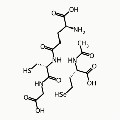 CC(=O)N[C@@H](CC[SeH])C(=O)O.N[C@@H](CCC(=O)N[C@@H](CS)C(=O)NCC(=O)O)C(=O)O